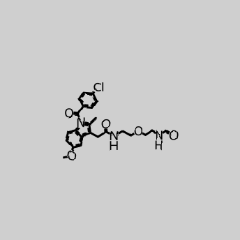 COc1ccc2c(c1)c(CC(=O)NCCOCCNC=O)c(C)n2C(=O)c1ccc(Cl)cc1